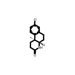 C[C@@]12CCC(=O)N[C@H]1CCc1cc(Cl)ccc12